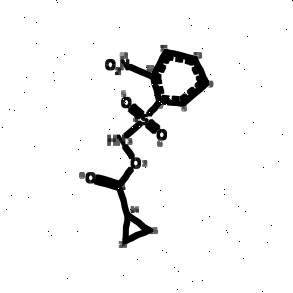 O=C(ONS(=O)(=O)c1ccccc1[N+](=O)[O-])C1CC1